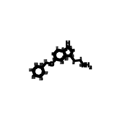 NCCc1c[nH]c2ccc(OCc3cc[c]cc3)cc12